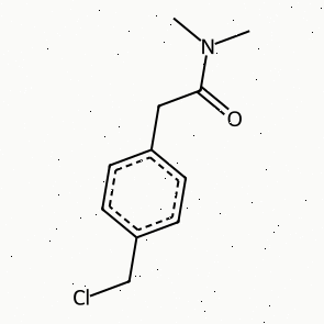 CN(C)C(=O)Cc1ccc(CCl)cc1